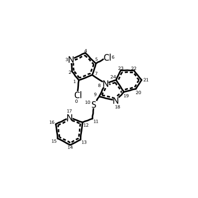 Clc1cncc(Cl)c1-n1c(SCc2ccccn2)nc2ccccc21